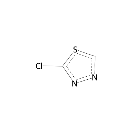 Clc1nncs1